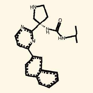 CC(C)NC(=O)N[C@@]1(c2nccc(-c3ccc4ccccc4c3)n2)CCNC1